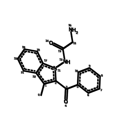 Cc1c(C(=O)c2ccccc2)n(NC(=O)CN)c2ccccc12